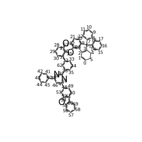 C1=CC2=C(CC1)C(c1ccccc1)(c1ccccc1)c1ccc3c(c12)Oc1c(cccc1-c1cccc(-c2nc(-c4ccccc4)cc(-c4ccc5c(c4)oc4ccccc45)n2)c1)O3